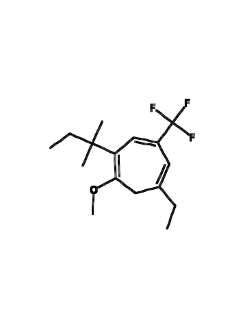 CCC1=CC(C(F)(F)F)=CC(C(C)(C)CC)=C(OC)C1